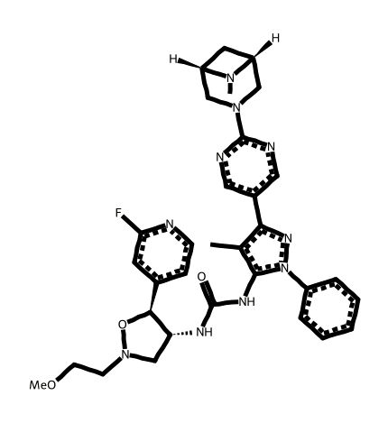 COCCN1C[C@@H](NC(=O)Nc2c(C)c(-c3cnc(N4C[C@H]5C[C@@H](C4)N5C)nc3)nn2-c2ccccc2)[C@H](c2ccnc(F)c2)O1